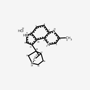 Cc1cnc2c(ccc3[nH]cc(C4CN5CCC4CC5)c32)n1.Cl